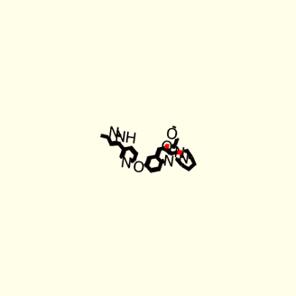 COCC(=O)N1CC2CCC(C1)N2Cc1ccc2cc(Oc3ccc(-c4cc(C)n[nH]4)cn3)ccc2n1